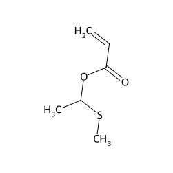 C=CC(=O)OC(C)SC